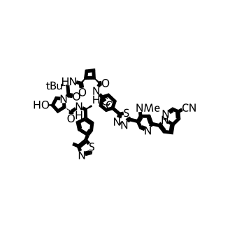 CNc1cc(-c2ccc3cc(C#N)cnn23)ncc1-c1nnc(C23CCC(NC(=O)[C@@H]4CC[C@@H]4C(=O)N[C@H](C(=O)N4C[C@H](O)C[C@H]4C(=O)N[C@@H](C)c4ccc(-c5scnc5C)cc4)C(C)(C)C)(CC2)CC3)s1